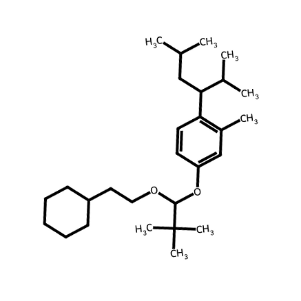 Cc1cc(OC(OCCC2CCCCC2)C(C)(C)C)ccc1C(CC(C)C)C(C)C